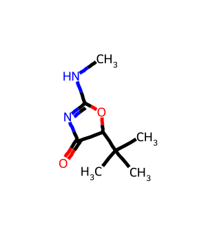 CNC1=NC(=O)C(C(C)(C)C)O1